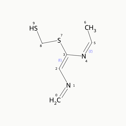 C=N/C=C(\N=C/C)SCS